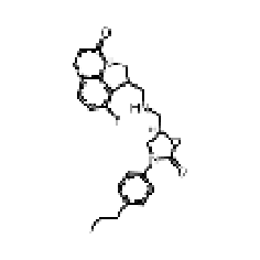 CCCc1ccc(N2C[C@@H](CNCC3Cn4c(=O)ccc5ccc(F)c3c54)OC2=O)cc1